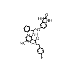 N#Cc1cnc(NC(COc2ccc3[nH]c(=O)[nH]c3c2)c2ccccc2)c(C(=O)NCc2ccc(F)cc2)n1